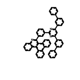 c1ccc(-c2cccc(-c3cc(-c4cccc(-c5ccccc5)c4)nc(-c4cccc(-c5nc6ccccc6c6c7ccccc7c7ccccc7c56)c4)n3)c2)cc1